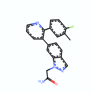 Cc1cc(-c2ncccc2-c2ccc3cnn(CC(N)=O)c3c2)ccc1F